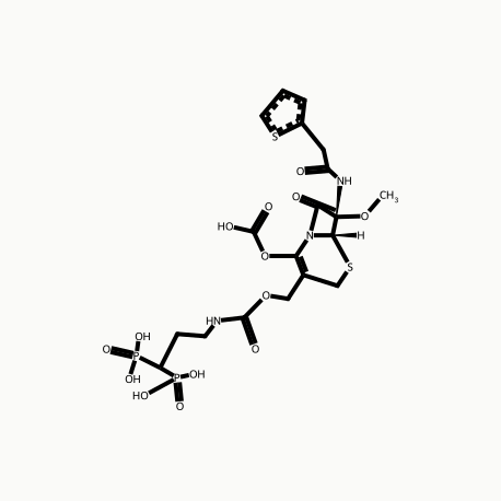 CO[C@@]1(NC(=O)Cc2cccs2)C(=O)N2C(OC(=O)O)=C(COC(=O)NCCC(P(=O)(O)O)P(=O)(O)O)CS[C@H]21